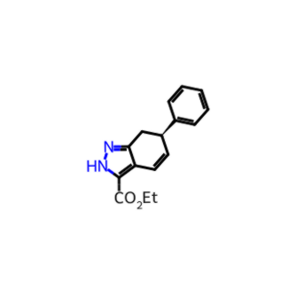 CCOC(=O)c1[nH]nc2c1C=C[C@H](c1ccccc1)C2